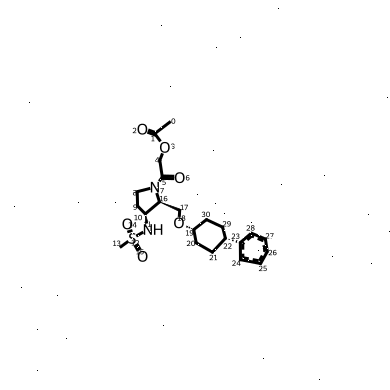 CC(=O)OCC(=O)N1CC[C@H](NS(C)(=O)=O)[C@@H]1CO[C@H]1CC[C@@H](c2ccccc2)CC1